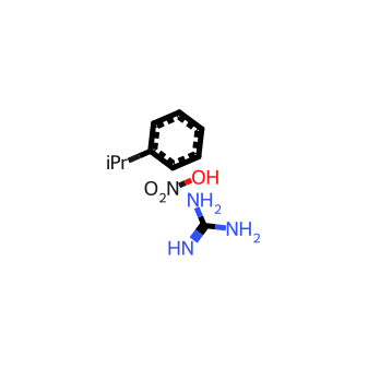 CC(C)c1ccccc1.N=C(N)N.O=[N+]([O-])O